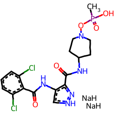 CP(=O)(O)ON1CCC(NC(=O)c2n[nH]cc2NC(=O)c2c(Cl)cccc2Cl)CC1.[NaH].[NaH]